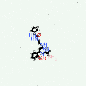 Bc1cnn2c(NCCNC(=O)NC3CCCC3)cc(-c3ccccc3O)nc12